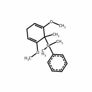 COC1=CCC=C(OC)C1(C)[Si](C)(C)c1ccccc1